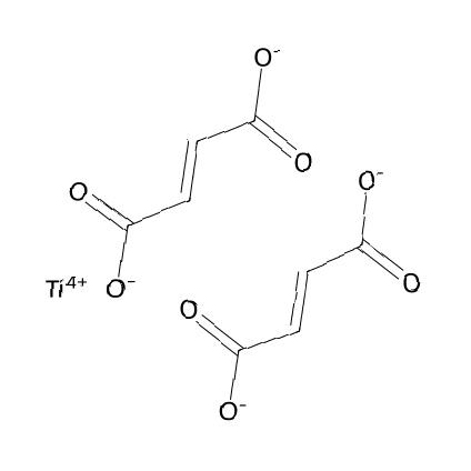 O=C([O-])C=CC(=O)[O-].O=C([O-])C=CC(=O)[O-].[Ti+4]